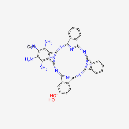 Nc1c(N)c(N)c2c3nc4nc(nc5[nH]c(nc6nc(nc([nH]3)c2c1N)-c1ccccc1-6)c1ccccc51)-c1ccccc1-4.[Ge+2].[OH-].[OH-]